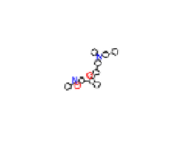 c1ccc(-c2ccc(N(c3ccccc3)c3ccc(-c4ccc5c(c4)oc4c(-c6ccc7nc(-c8ccccc8)oc7c6)cc6ccccc6c45)cc3)cc2)cc1